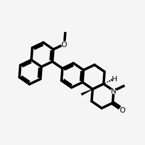 COc1ccc2ccccc2c1-c1ccc2c(c1)CC[C@H]1N(C)C(=O)CC[C@]21C